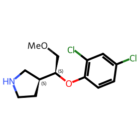 COC[C@@H](Oc1ccc(Cl)cc1Cl)[C@H]1CCNC1